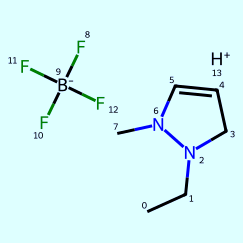 CCN1CC=CN1C.F[B-](F)(F)F.[H+]